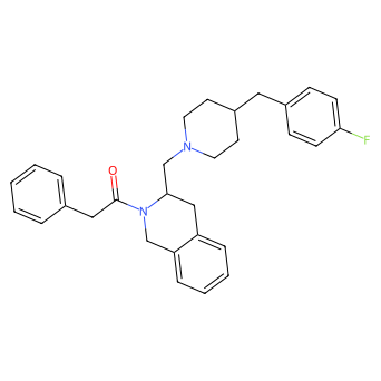 O=C(Cc1ccccc1)N1Cc2ccccc2CC1CN1CCC(Cc2ccc(F)cc2)CC1